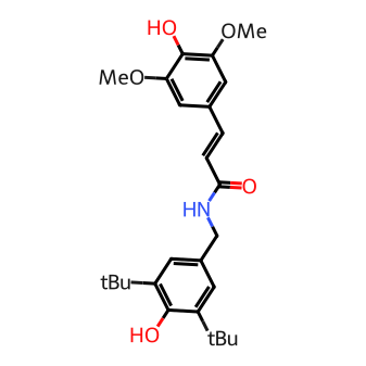 COc1cc(C=CC(=O)NCc2cc(C(C)(C)C)c(O)c(C(C)(C)C)c2)cc(OC)c1O